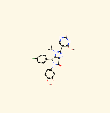 COc1ncc(-c2nc3c(n2C(C)C)[C@H](c2ccc(Cl)cc2)N(c2ccc4c(c2)OCO4)C3=O)c(OC)n1